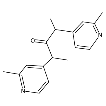 Cc1cc(C(C)C(=O)C(C)c2ccnc(C)c2)ccn1